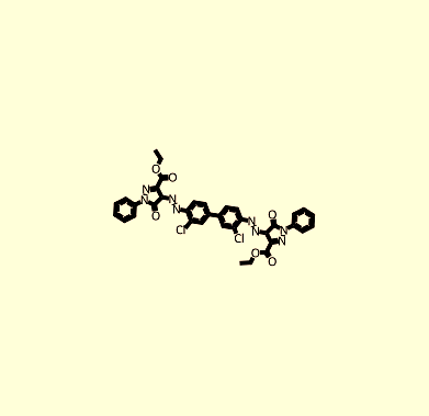 CCOC(=O)C1=NN(c2ccccc2)C(=O)C1N=Nc1ccc(-c2ccc(N=NC3C(=O)N(c4ccccc4)N=C3C(=O)OCC)c(Cl)c2)cc1Cl